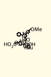 CCCCOP(=O)(O)C[C@H](NC(=O)c1cc(N2CC(COC)C2)nc(-c2ccccc2)n1)C(=O)N1CCN(OC(=O)O)CC1